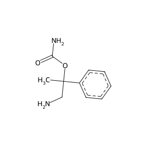 CC(CN)(OC(N)=O)c1ccccc1